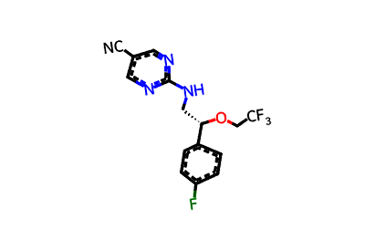 N#Cc1cnc(NC[C@H](OCC(F)(F)F)c2ccc(F)cc2)nc1